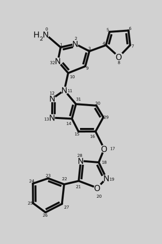 Nc1nc(-c2ccco2)cc(-n2nnc3cc(Oc4noc(-c5ccccc5)n4)ccc32)n1